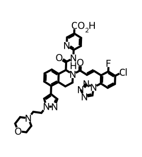 O=C(O)c1ccc(NC(=O)C2c3cccc(-c4cnn(CCN5CCOCC5)c4)c3CCN2C(=O)/C=C/c2c(-n3cnnn3)ccc(Cl)c2F)nc1